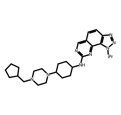 CC(C)n1nnc2ccc3cnc(NC4CCC(N5CCN(CC6CCCC6)CC5)CC4)nc3c21